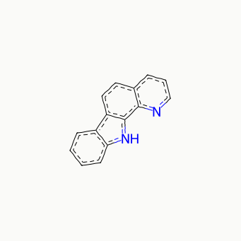 c1cnc2c(c1)ccc1c3ccccc3[nH]c12